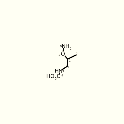 CC(CNC(=O)O)ON